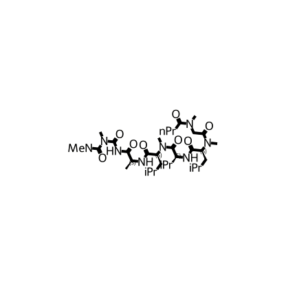 CCCC(=O)N(C)CC(=O)N(C)[C@@H](CC(C)C)C(=O)N[C@H](C(=O)N(C)[C@@H](CC(C)C)C(=O)N[C@@H](C)C(=O)NC(=O)N(C)C(=O)NC)C(C)C